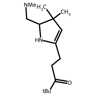 CNCC1NC(CCC(=O)C(C)(C)C)=CC1(C)C